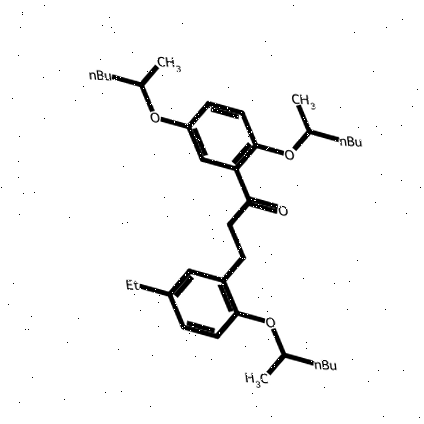 CCCCC(C)Oc1ccc(OC(C)CCCC)c(C(=O)CCc2cc(CC)ccc2OC(C)CCCC)c1